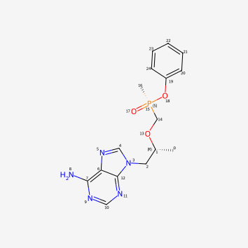 C[C@H](Cn1cnc2c(N)ncnc21)OC[P@@](C)(=O)Oc1ccccc1